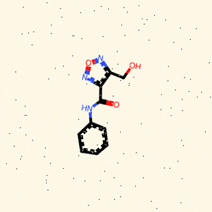 O=C(Nc1ccccc1)c1nonc1CO